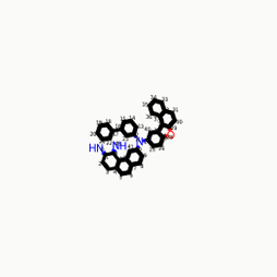 N=C1C=Cc2ccc3ccc(N(c4cccc(-c5ccccc5)c4)c4ccc5oc6ccc7ccccc7c6c5c4)cc3c2C1=N